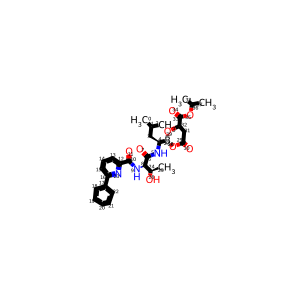 CC(C)C[C@H](NC(=O)[C@@H](NC(=O)c1cccc(-c2ccccc2)n1)[C@@H](C)O)B1OC(=O)CC(C(=O)OC(C)C)O1